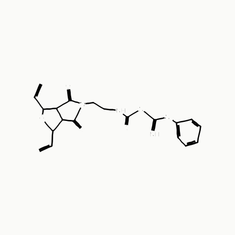 C=CC1OC(C=C)C2C(=O)N(CCNC(=S)NC(=N)Nc3ccccc3)C(=O)C12